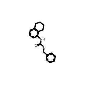 O=C(Nc1cccc2c1C[CH]CC2)OCc1ccccc1